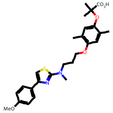 COc1ccc(-c2csc(N(C)CCCOc3cc(C)c(OC(C)(C)C(=O)O)cc3C)n2)cc1